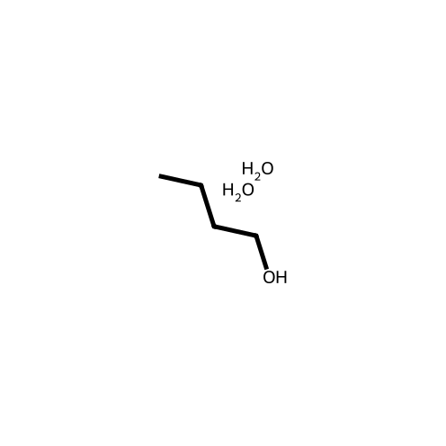 CCCCO.O.O